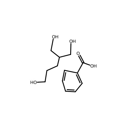 O=C(O)c1ccccc1.OCCCC(CO)CO